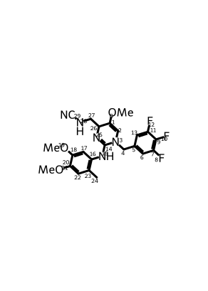 COC1=CN(Cc2cc(F)c(F)c(F)c2)C(Nc2cc(OC)c(OC)cc2C)=NC1CNC#N